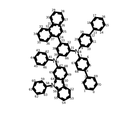 c1ccc(-c2ccc(N(c3ccc(-c4ccccc4)cc3)c3cc(-c4cc5ccccc5c5ccccc45)cc(N(c4ccccc4)c4ccc5c6ccccc6n(-c6ccccc6)c5c4)c3)cc2)cc1